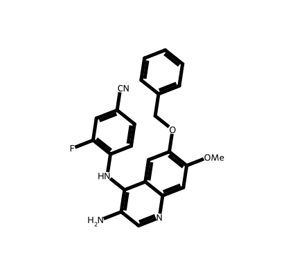 COc1cc2ncc(N)c(Nc3ccc(C#N)cc3F)c2cc1OCc1ccccc1